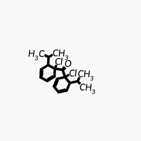 CC(C)C1C=CC=CC1(Cl)C(=O)C1(Cl)C=CC=CC1C(C)C